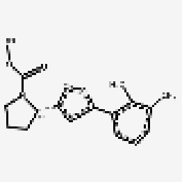 Cc1cccc(-c2cc([C@@H]3CCCN3C(=O)OC(C)(C)C)on2)c1C